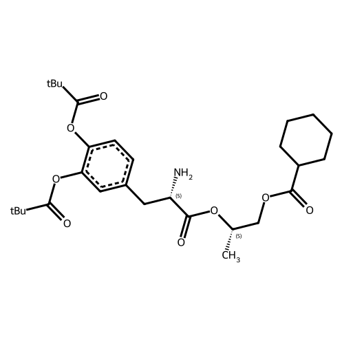 C[C@@H](COC(=O)C1CCCCC1)OC(=O)[C@@H](N)Cc1ccc(OC(=O)C(C)(C)C)c(OC(=O)C(C)(C)C)c1